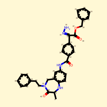 CC1Nc2ccc(NC(=O)c3ccc(C(=NN)C(=O)OCc4ccccc4)cc3)cc2CN(CCc2ccccc2)C1=O